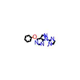 Cn1ccnc1-n1ncc2c(Oc3ccccc3)ncnc21